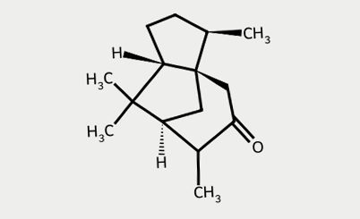 CC1C(=O)C[C@@]23C[C@@H]1C(C)(C)[C@@H]2CC[C@H]3C